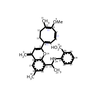 C=C1C=C(/C2=C/C=C\C(OC)=C(\C)CC2)Oc2c1cc(C)cc2C(C)Nc1ccccc1C(=O)O